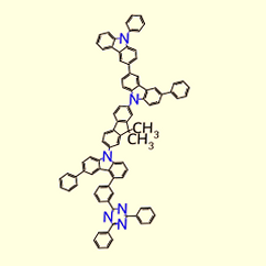 CC1(C)c2cc(-n3c4ccc(-c5ccccc5)cc4c4cc(-c5ccc6c(c5)c5ccccc5n6-c5ccccc5)ccc43)ccc2-c2ccc(-n3c4ccc(-c5ccccc5)cc4c4c(-c5cccc(-c6nc(-c7ccccc7)nc(-c7ccccc7)n6)c5)cccc43)cc21